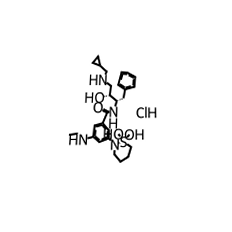 CCNc1cc(C(=O)N[C@@H](Cc2ccccc2)[C@H](O)CNCC2CC2)cc(N2CCCCS2(O)O)c1.Cl